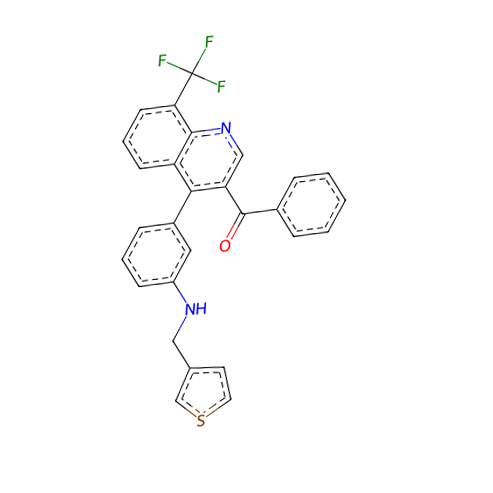 O=C(c1ccccc1)c1cnc2c(C(F)(F)F)cccc2c1-c1cccc(NCc2ccsc2)c1